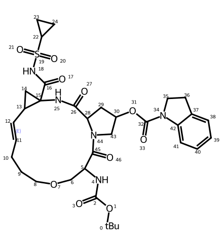 CC(C)(C)OC(=O)NC1COCCC/C=C/C2CC2(C(=O)NS(=O)(=O)C2CC2)NC(=O)C2CC(OC(=O)N3CCc4ccccc43)CN2C1=O